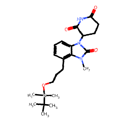 Cn1c(=O)n(C2CCC(=O)NC2=O)c2cccc(CCCO[Si](C)(C)C(C)(C)C)c21